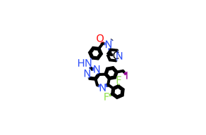 CN(C(=O)c1ccc(Nc2ncc3c(n2)-c2ccc(CI)cc2C(c2c(F)cccc2F)=NC3)cc1)C1CN2CCC1CC2